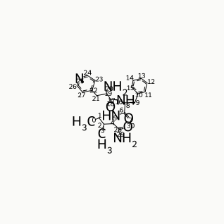 CC[C@H](C)[C@H](NC(=O)[C@H](Cc1ccccc1)NC(=O)[C@@H](N)Cc1ccncc1)C(N)=O